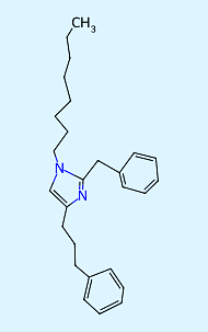 CCCCCCCCn1cc(CCCc2ccccc2)nc1Cc1ccccc1